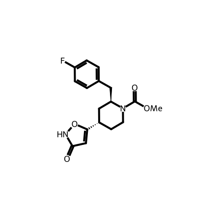 COC(=O)N1CC[C@H](c2cc(=O)[nH]o2)C[C@H]1Cc1ccc(F)cc1